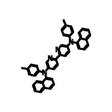 Cc1ccc(N(c2ccc(-c3ccc(N(c4ccc(C)cc4)c4cccc5ccccc45)cn3)nc2)c2cccc3ccccc23)cc1